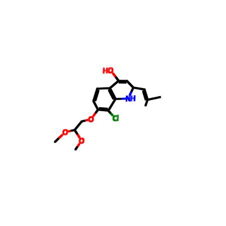 COC(COc1ccc2c(c1Cl)NC(C=C(C)C)C=C2O)OC